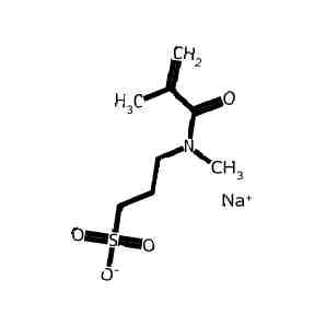 C=C(C)C(=O)N(C)CCCS(=O)(=O)[O-].[Na+]